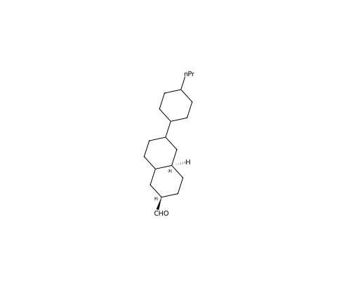 CCCC1CCC(C2CCC3C[C@H](C=O)CC[C@@H]3C2)CC1